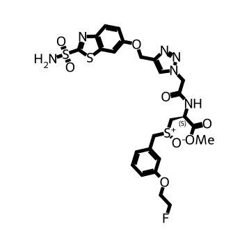 COC(=O)[C@@H](C[S+]([O-])Cc1cccc(OCCF)c1)NC(=O)Cn1cc(COc2ccc3nc(S(N)(=O)=O)sc3c2)nn1